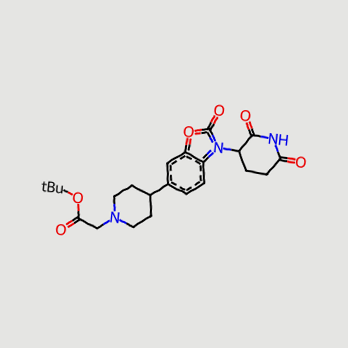 CC(C)(C)OC(=O)CN1CCC(c2ccc3c(c2)oc(=O)n3C2CCC(=O)NC2=O)CC1